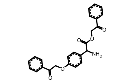 NC(C(=O)OCC(=O)c1ccccc1)c1ccc(OCC(=O)c2ccccc2)cc1